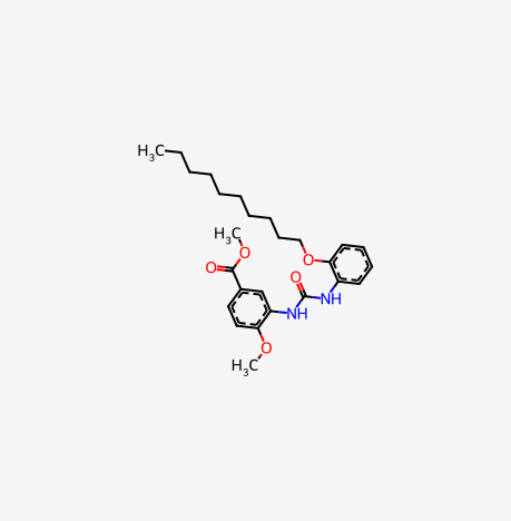 CCCCCCCCCCOc1ccccc1NC(=O)Nc1cc(C(=O)OC)ccc1OC